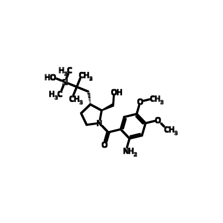 COc1cc(N)c(C(=O)N2CC[C@H](CC(C)(C)[Si](C)(C)O)[C@H]2CO)cc1OC